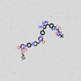 Cc1cc(-c2ncnc3[nH]c(-c4ccc(N5CCN(CC6CCN(c7ccc(N8CCC(=O)N(COCC[Si](C)(C)C)C8=O)cc7)CC6)C(=O)C5)cc4)cc23)ccc1[C@@H](C)NC(=O)c1nc(C(C)(C)C)no1